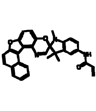 C=CC(=O)Nc1ccc2c(c1)C(C)(C)C1(C=Nc3c(ccc4oc5ccc6ccccc6c5c34)O1)N2C